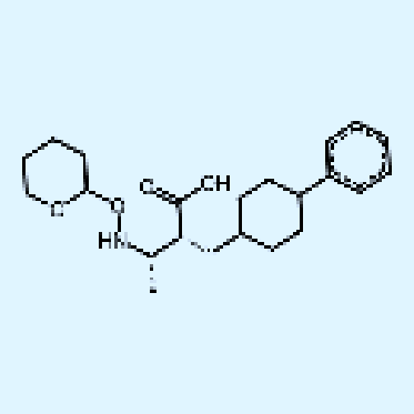 C[C@H](NOC1CCCCO1)[C@@H](CC1CCC(c2ccccc2)CC1)C(=O)O